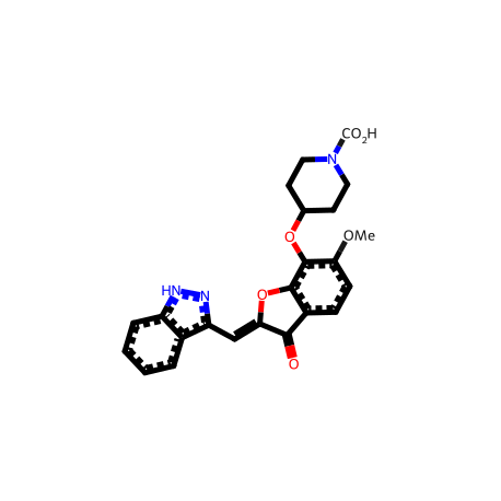 COc1ccc2c(c1OC1CCN(C(=O)O)CC1)OC(=Cc1n[nH]c3ccccc13)C2=O